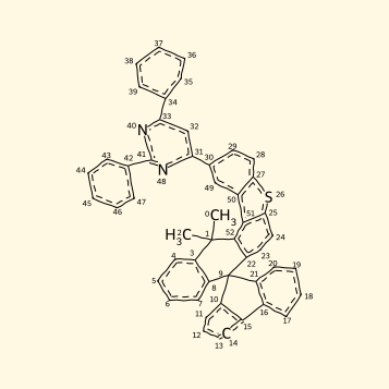 CC1(C)c2ccccc2C2(c3ccccc3-c3ccccc32)c2ccc3sc4ccc(-c5cc(-c6ccccc6)nc(-c6ccccc6)n5)cc4c3c21